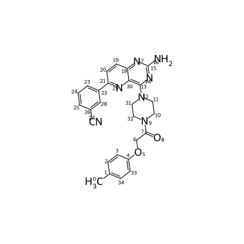 Cc1ccc(OCC(=O)N2CCN(c3nc(N)nc4ccc(-c5cccc(C#N)c5)nc34)CC2)cc1